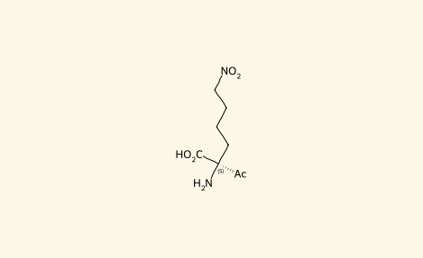 CC(=O)[C@@](N)(CCCC[N+](=O)[O-])C(=O)O